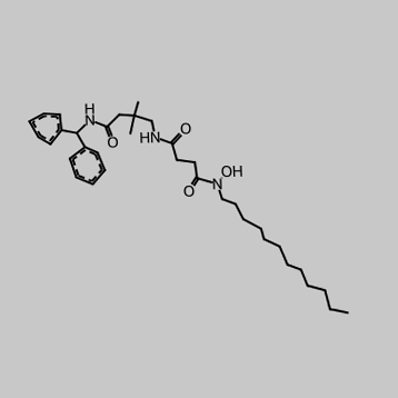 CCCCCCCCCCCCN(O)C(=O)CCC(=O)NCC(C)(C)CC(=O)NC(c1ccccc1)c1ccccc1